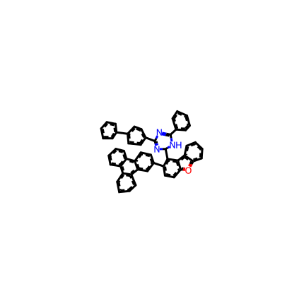 c1ccc(C2=NC(c3ccc(-c4ccccc4)cc3)=NC(c3c(-c4ccc5c6ccccc6c6ccccc6c5c4)ccc4oc5ccccc5c34)N2)cc1